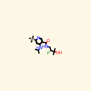 CC(C)Nc1c[c]([Sn]([CH3])([CH3])[CH3])ncc1C(=O)NC[C@@H](F)C(C)(C)O